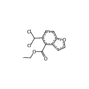 CCOC(=O)c1c(C(Cl)Cl)ccc2occc12